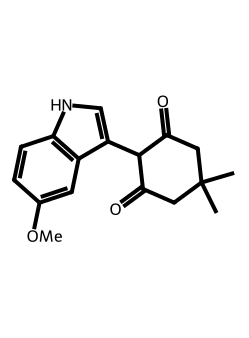 COc1ccc2[nH]cc(C3C(=O)CC(C)(C)CC3=O)c2c1